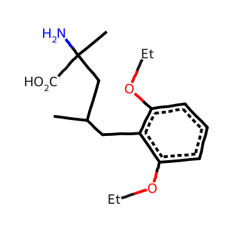 CCOc1cccc(OCC)c1CC(C)CC(C)(N)C(=O)O